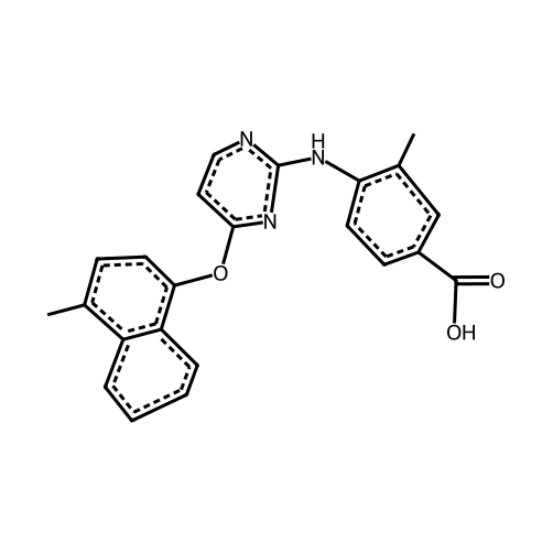 Cc1cc(C(=O)O)ccc1Nc1nccc(Oc2ccc(C)c3ccccc23)n1